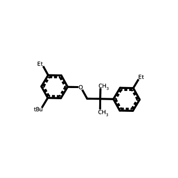 CCc1cc(OCC(C)(C)c2cccc(CC)c2)cc(C(C)(C)C)c1